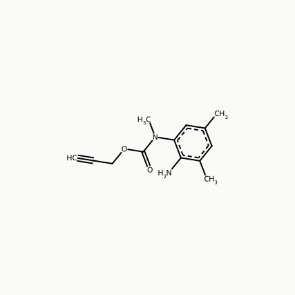 C#CCOC(=O)N(C)c1cc(C)cc(C)c1N